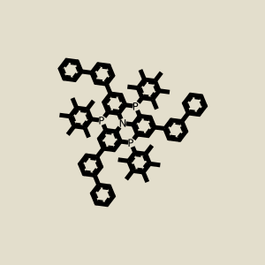 Cc1c(C)c(C)c(P2c3cc(-c4cccc(-c5ccccc5)c4)cc4c3N3c5c2cc(-c2cccc(-c6ccccc6)c2)cc5P(c2c(C)c(C)c(C)c(C)c2C)c2cc(-c5cccc(-c6ccccc6)c5)cc(c23)P4c2c(C)c(C)c(C)c(C)c2C)c(C)c1C